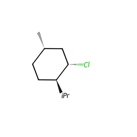 CC(C)[C@H]1CC[C@H](C)C[C@@H]1Cl